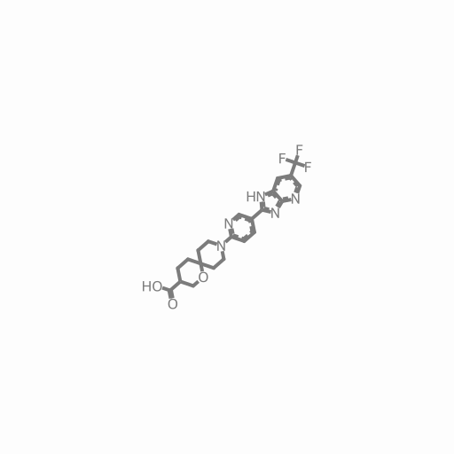 O=C(O)C1CCC2(CCN(c3ccc(-c4nc5ncc(C(F)(F)F)cc5[nH]4)cn3)CC2)OC1